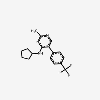 Cc1ncc(-c2ccc(C(F)(F)F)cc2)c(NC2CCCC2)n1